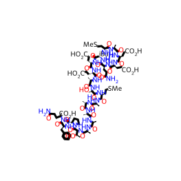 CC[C@H](C)[C@H](NC(=O)[C@H](CCC(N)=O)NC(=O)[C@H](CCC(=O)O)NC(=O)[C@H](CCC(=O)O)NC(=O)[C@H](C)NC(=O)[C@@H](N)CCSC)C(=O)N[C@@H](CCC(=O)O)C(=O)N[C@@H](CCC(=O)O)C(=O)N[C@@H](C)C(=O)N[C@@H](CO)C(=O)N[C@@H](CCSC)C(=O)N[C@@H](C)C(=O)N[C@@H](C)C(=O)N[C@@H](C)C(=O)N[C@@H](C)C(=O)N[C@@H](C)C(=O)N[C@H](C(=O)N1CCC[C@H]1C(=O)N[C@@H](Cc1ccccc1)C(=O)N[C@@H](CCC(N)=O)C(=O)O)[C@@H](C)O